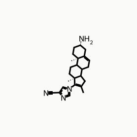 CC1=C(n2cnc(C#N)c2)[C@@]2(C)CCC3C(CC=C4C[C@@H](N)CC[C@@]43C)C2C1